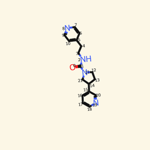 O=C(NCCc1ccncc1)N1CCC(c2cccnc2)C1